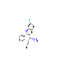 C=CCCC(N)c1cc2ccc(F)cc2nc1-c1ccccc1